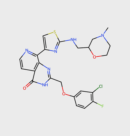 CN1CCOC(CNc2nc(-c3nccc4c(=O)[nH]c(COc5ccc(F)c(Cl)c5)nc34)cs2)C1